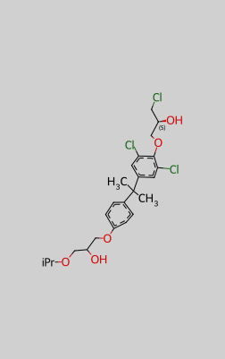 CC(C)OCC(O)COc1ccc(C(C)(C)c2cc(Cl)c(OC[C@H](O)CCl)c(Cl)c2)cc1